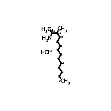 CCCCCCCCCCCC(C)C(C)N.Cl